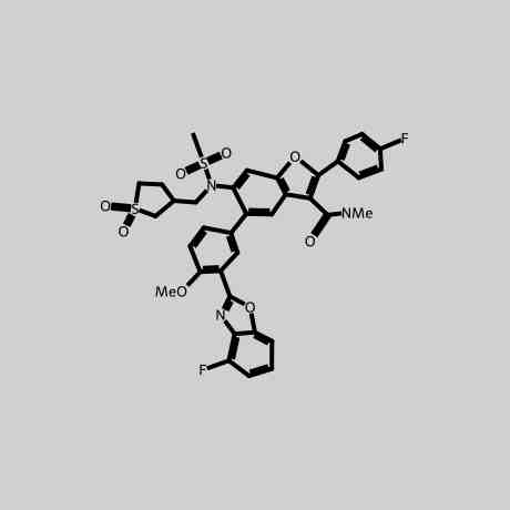 CNC(=O)c1c(-c2ccc(F)cc2)oc2cc(N(CC3CCS(=O)(=O)C3)S(C)(=O)=O)c(-c3ccc(OC)c(-c4nc5c(F)cccc5o4)c3)cc12